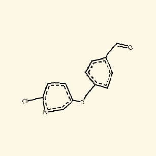 O=Cc1ccc(Oc2ccc(Cl)nc2)cc1